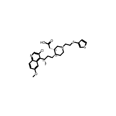 COc1ccc2ncc(Cl)c([C@@H](F)CC[C@@H]3CCN(CCSc4ccsc4)C[C@H]3CC(=O)O)c2c1